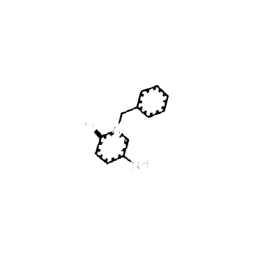 Nc1ccc(=O)n(Cc2ccccc2)c1